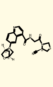 N#C[C@@H]1CSCN1C(=O)CNC(=O)c1ccnc2ccc(N3C[C@@H]4C[C@H]3CO4)cc12